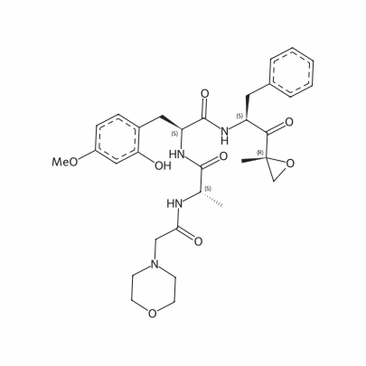 COc1ccc(C[C@H](NC(=O)[C@H](C)NC(=O)CN2CCOCC2)C(=O)N[C@@H](Cc2ccccc2)C(=O)[C@@]2(C)CO2)c(O)c1